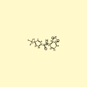 CC(C)(C)c1ccc(C(=O)Nc2cccc3c2OCO3)cc1